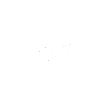 Brc1cncc(NC2CC2)c1